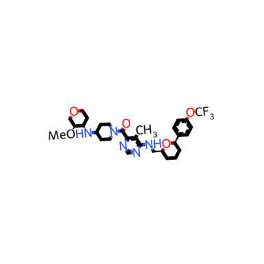 CO[C@@H]1COCC[C@@H]1NC1CCN(C(=O)c2ncnc(NC[C@@H]3CCC[C@H](c4ccc(OC(F)(F)F)cc4)O3)c2C)CC1